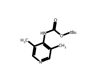 Cc1cncc(C)c1NC(=O)OC(C)(C)C